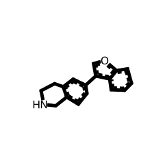 c1ccc2c(-c3ccc4c(c3)CCNC4)coc2c1